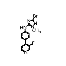 Cn1nc(Br)nc1Nc1ccc(-c2ccncc2F)cc1